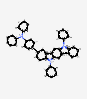 c1ccc(N(c2ccccc2)c2ccc(-c3ccc4c(c3)c3cc5c(cc3n4-c3ccccc3)c3ccccc3n5-c3ccccc3)cc2)cc1